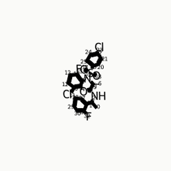 CC(NC(=O)[C@@H](C)N(c1cc(Cl)ccc1F)S(=O)(=O)c1ccc(Cl)cc1)c1ccccc1F